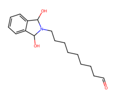 O=CCCCCCCCCN1C(O)c2ccccc2C1O